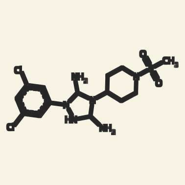 CS(=O)(=O)N1CCC(N2C(N)NN(c3cc(Cl)cc(Cl)c3)C2N)CC1